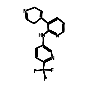 FC(F)(F)c1ccc(Nc2ncccc2C2=CCN=CC2)cn1